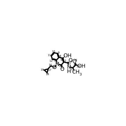 CC(NC(=O)c1c(O)c2ccccc2n(OCC2CC2)c1=O)C(=O)O